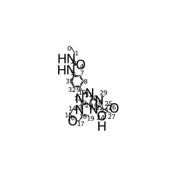 CCNC(=O)Nc1ccc(-c2nc(N3CCOCC3C)c3nc(C4(O)COC4)n(C)c3n2)cc1